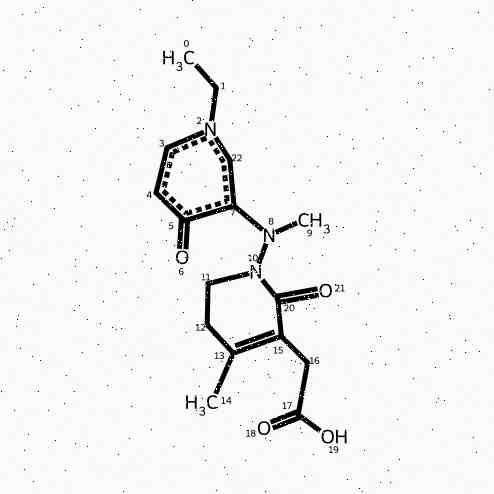 CCn1ccc(=O)c(N(C)N2CCC(C)=C(CC(=O)O)C2=O)c1